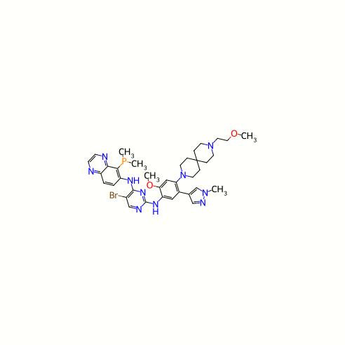 COCCN1CCC2(CC1)CCN(c1cc(OC)c(Nc3ncc(Br)c(Nc4ccc5nccnc5c4P(C)C)n3)cc1-c1cnn(C)c1)CC2